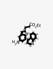 CCOC(=O)CCn1cc2cc(N)ccc2n1.c1ccc2ncccc2c1